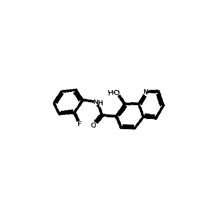 O=C(Nc1ccccc1F)c1ccc2cccnc2c1O